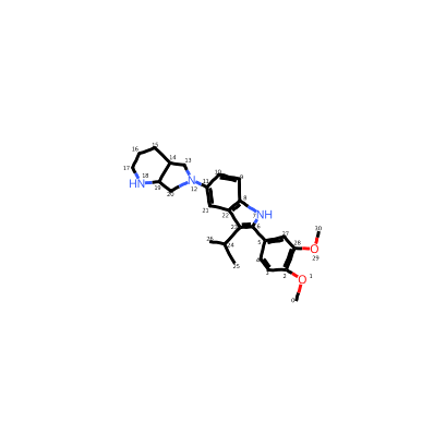 COc1ccc(-c2[nH]c3ccc(N4CC5CCCNC5C4)cc3c2C(C)C)cc1OC